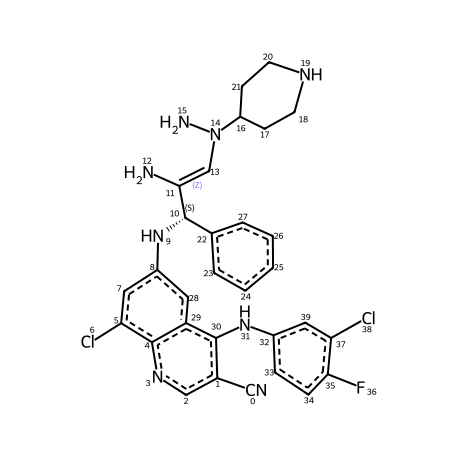 N#Cc1cnc2c(Cl)cc(N[C@H](/C(N)=C/N(N)C3CCNCC3)c3ccccc3)cc2c1Nc1ccc(F)c(Cl)c1